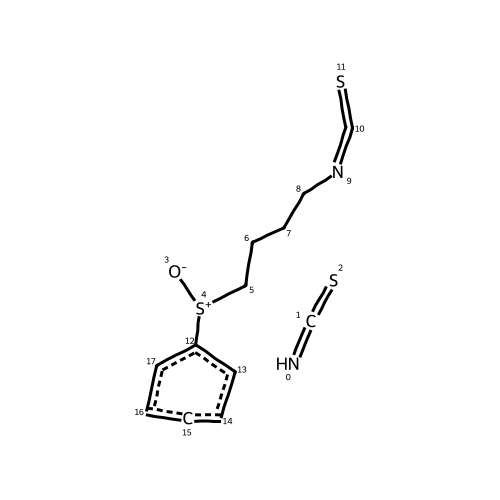 N=C=S.[O-][S+](CCCCN=C=S)c1ccccc1